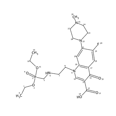 CCOP(=O)(CNCCn1cc(C(=O)O)c(=O)c2cc(F)c(N3CCN(C)CC3)cc21)OCC